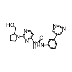 O=C(Nc1cccc(-c2cncnc2)c1)Nc1ccnc(N2CCCC2CO)n1